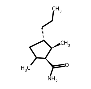 CCC[C@H]1CC(C)[C@H](C(N)=O)[C@@H]1C